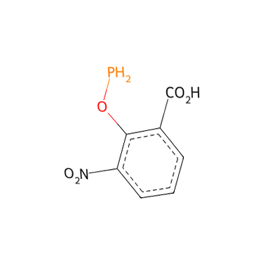 O=C(O)c1cccc([N+](=O)[O-])c1OP